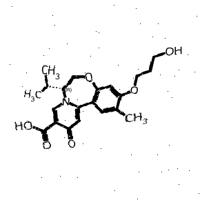 Cc1cc2c(cc1OCCCO)OC[C@@H](C(C)C)n1cc(C(=O)O)c(=O)cc1-2